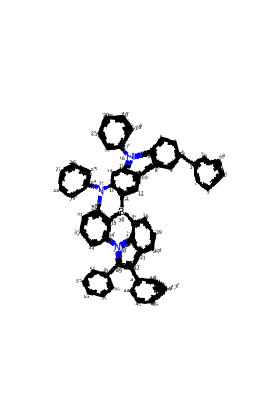 c1ccc(-c2ccc3c(c2)c2cc4c(cc2n3-c2ccccc2)N(c2ccccc2)c2cccc3c2B4c2cccc4c(-c5ccccc5)c(-c5ccccc5)n-3c24)cc1